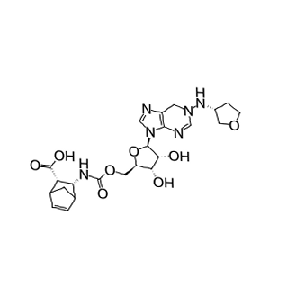 O=C(N[C@@H]1C2C=CC(C2)[C@@H]1C(=O)O)OC[C@H]1O[C@@H](n2cnc3c2N=CN(N[C@@H]2CCOC2)C3)[C@H](O)[C@@H]1O